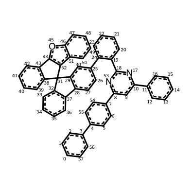 c1ccc(-c2ccc(-c3cc(-c4ccccc4)nc(-c4ccccc4-c4ccc5c(c4)C4(c6ccccc6-5)c5ccccc5-c5oc6ccccc6c54)n3)cc2)cc1